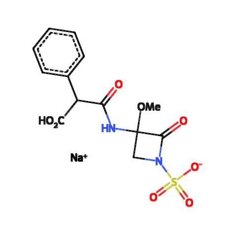 COC1(NC(=O)C(C(=O)O)c2ccccc2)CN(S(=O)(=O)[O-])C1=O.[Na+]